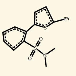 CC(C)c1ccc(-c2ccccc2S(=O)(=O)N(C)C)s1